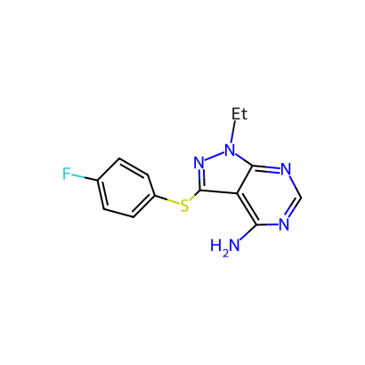 CCn1nc(Sc2ccc(F)cc2)c2c(N)ncnc21